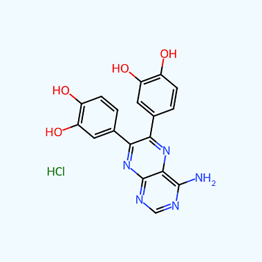 Cl.Nc1ncnc2nc(-c3ccc(O)c(O)c3)c(-c3ccc(O)c(O)c3)nc12